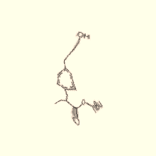 CCCCOC(=O)C(C)c1ccc(CCO)cc1